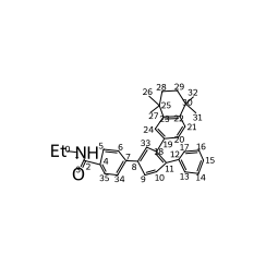 CCNC(=O)c1ccc(-c2ccc(-c3ccccc3)c(-c3ccc4c(c3)C(C)(C)CCC4(C)C)c2)cc1